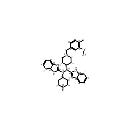 CCOc1cc(CN2CCC(N(c3nc4cccnc4o3)N(c3nc4cccnc4o3)C3CCNCC3)CC2)ccc1C